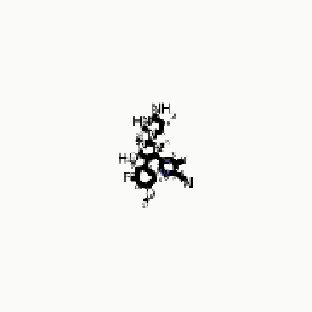 C=C(F)/C=C(\C=C/CC#N)C1=C(C2=CC=C(OC)CC(F)=C2)C(O)N(C)C(N2CCC(N)NC2)N1C